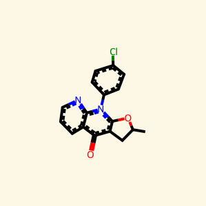 CC1Cc2c(n(-c3ccc(Cl)cc3)c3ncccc3c2=O)O1